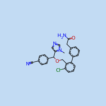 Cn1cncc1C(OCc1c(Cl)cccc1-c1cccc(CC(N)=O)c1)c1ccc(C#N)cc1